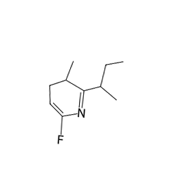 CCC(C)C1=NC(F)=CCC1C